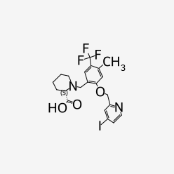 Cc1cc(OCc2cc(I)ccn2)c(CN2CCCC[C@H]2C(=O)O)cc1C(F)(F)F